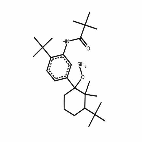 CC(C)(C)C(=O)Nc1cc(C2(O[SiH3])CCCC(C(C)(C)C)C2(C)C)ccc1C(C)(C)C